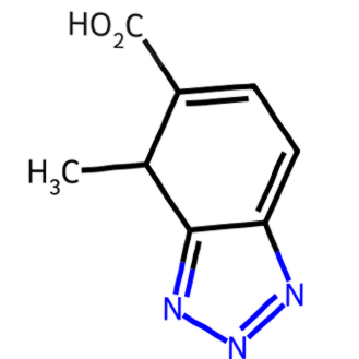 CC1C(C(=O)O)=CC=C2N=NN=C21